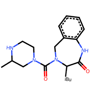 CCC(C)C1C(=O)Nc2ccccc2CN1C(=O)N1CCNC(C)C1